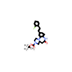 CC(C)(C)OC(=O)N1CCN2c3cc(C=Cc4ccccc4F)ccc3NC(=O)CC2C1